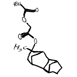 CCC(C)C(=O)OCC(=O)OC1(C)CC2CC1C1C3CCC(C3)C21